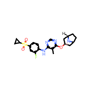 BN1C2CC[C@H]1CC(Oc1ncnc(Nc3ccc(S(=O)(=O)C4CC4)cc3F)c1C)C2